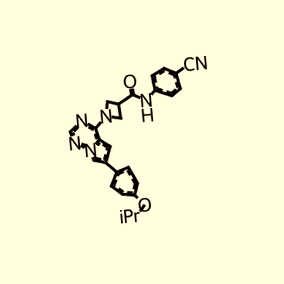 CC(C)Oc1ccc(-c2cc3c(N4CC(C(=O)Nc5ccc(C#N)cc5)C4)ncnn3c2)cc1